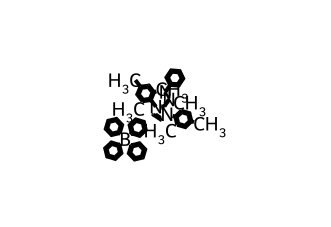 Cc1cc(C)c(-n2cc[n+](-c3c(C)cc(C)cc3C)c2N=Nc2ccccc2)c(C)c1.c1ccc([B-](c2ccccc2)(c2ccccc2)c2ccccc2)cc1